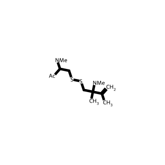 C=C(C)C(C)(CSSCC(NC)C(C)=O)NC